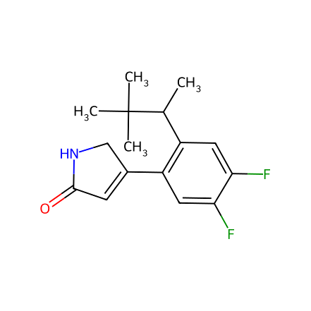 CC(c1cc(F)c(F)cc1C1=CC(=O)NC1)C(C)(C)C